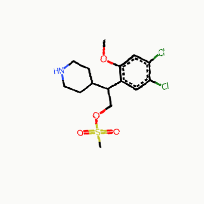 COc1cc(Cl)c(Cl)cc1C(COS(C)(=O)=O)C1CCNCC1